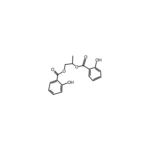 CC(COC(=O)c1ccccc1O)OC(=O)c1ccccc1O